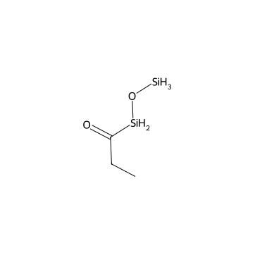 CCC(=O)[SiH2]O[SiH3]